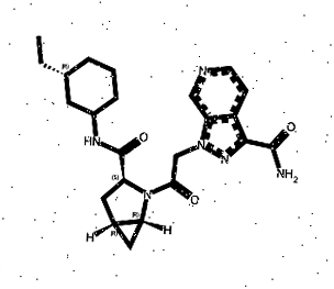 CC[C@@H]1CCCC(NC(=O)[C@@H]2C[C@H]3C[C@H]3N2C(=O)Cn2nc(C(N)=O)c3ccncc32)C1